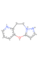 c1cnc2c(c1)Oc1ccnn1CC2